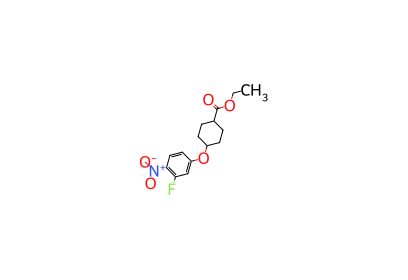 CCOC(=O)C1CCC(Oc2ccc([N+](=O)[O-])c(F)c2)CC1